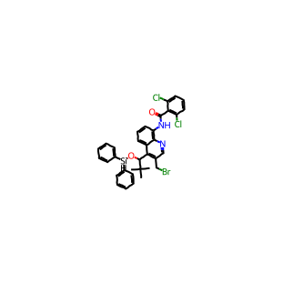 CC(C)(C)C(O[SiH](c1ccccc1)c1ccccc1)c1c(CBr)cnc2c(NC(=O)c3c(Cl)cccc3Cl)cccc12